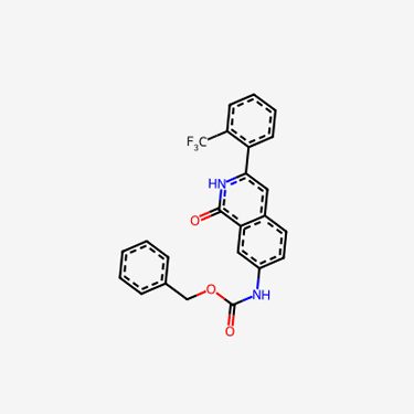 O=C(Nc1ccc2cc(-c3ccccc3C(F)(F)F)[nH]c(=O)c2c1)OCc1ccccc1